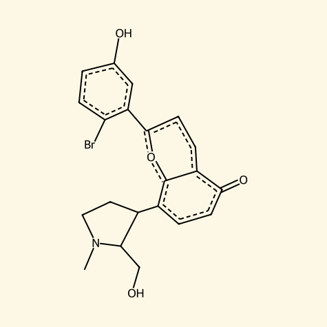 CN1CCC(c2ccc(=O)c3ccc(-c4cc(O)ccc4Br)oc2-3)C1CO